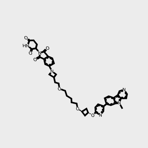 Cn1c2ccncc2c2ccc(-c3ccc(O[C@H]4C[C@H](OCCCCCOCCC5CN(c6ccc7c(c6)C(=O)N(C6CCC(=O)NC6=O)C7=O)C5)C4)nc3)cc21